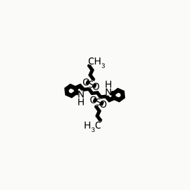 CCCCCS(=O)(=O)C(CCC(c1cc2ccccc2[nH]1)S(=O)(=O)CCCCC)c1cc2ccccc2[nH]1